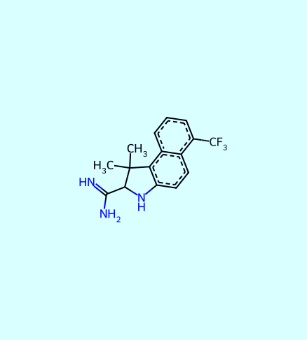 CC1(C)c2c(ccc3c(C(F)(F)F)cccc23)NC1C(=N)N